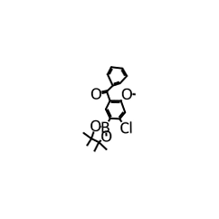 COc1cc(Cl)c(B2OC(C)(C)C(C)(C)O2)cc1C(=O)c1ccccc1